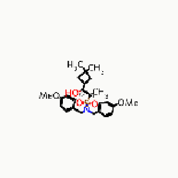 COc1ccc(CN(Cc2ccc(OC)cc2)S(=O)(=O)[C@H](C)[C@@H](O)C2CC(C)(C)C2)cc1